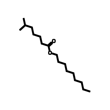 CCCCCCCCCOC(=O)CCCCC(C)C